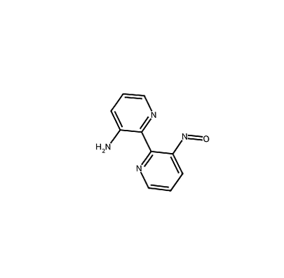 Nc1cccnc1-c1ncccc1N=O